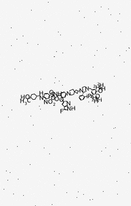 [2H]C([2H])([2H])Oc1ccc(CN2CCN(C3CC4(CCN(c5ccc(C(=O)NS(=O)(=O)c6ccc(NCC7CCC(C)(O)CC7)c([N+](=O)[O-])c6)c(Oc6cnc7[nH]cc(F)c7c6)c5)CC4)C3)[C@H](c3ccccc3C(C)C)C2)cc1OC([2H])([2H])[2H]